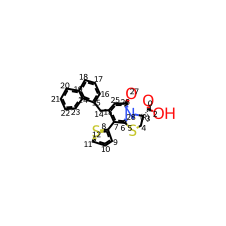 O=C(O)[C@@H]1CSc2c(-c3cccs3)c(Cc3cccc4ccccc34)cc(=O)n21